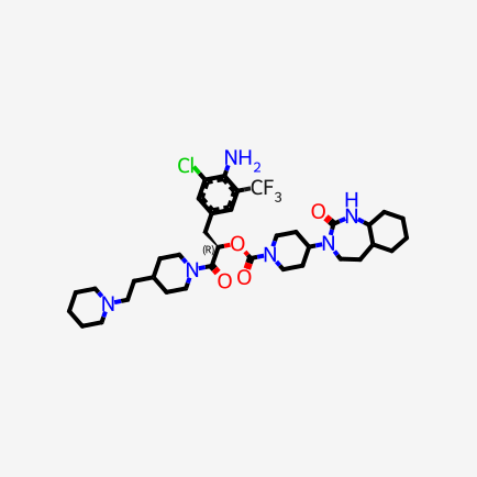 Nc1c(Cl)cc(C[C@@H](OC(=O)N2CCC(N3CCC4CCCCC4NC3=O)CC2)C(=O)N2CCC(CCN3CCCCC3)CC2)cc1C(F)(F)F